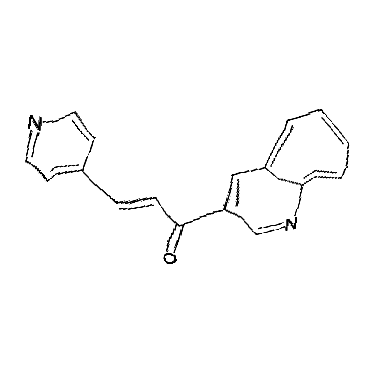 O=C(C=Cc1ccncc1)c1cnc2ccccc2c1